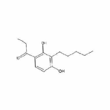 CCCCCc1c(O)ccc(C(=O)CC)c1O